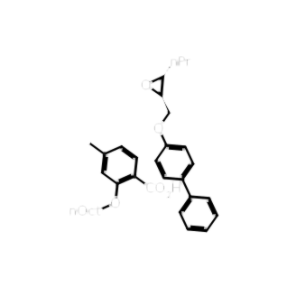 CCCCCCCCOc1cc(C)ccc1C(=O)O.CCC[C@H]1O[C@@H]1COc1ccc(-c2ccccc2)cc1